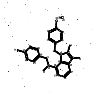 Cc1c(C)n(Cc2ccc(Cl)cc2)c2c(N(C)Cc3ccc(F)cc3)nccc12.Cl